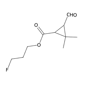 CC1(C)C(C=O)C1C(=O)OCCCF